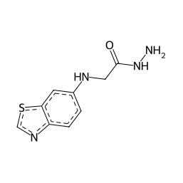 NNC(=O)CNc1ccc2ncsc2c1